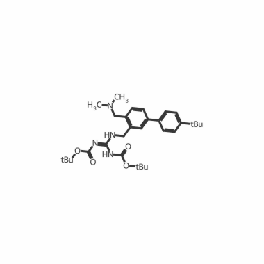 CN(C)Cc1ccc(-c2ccc(C(C)(C)C)cc2)cc1CN/C(=N/C(=O)OC(C)(C)C)NC(=O)OC(C)(C)C